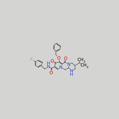 CC(C)C1CNC2Cn3cc(C(=O)NCc4ccc(F)cc4)c(=O)c(OCc4ccccc4)c3C(=O)N2C1